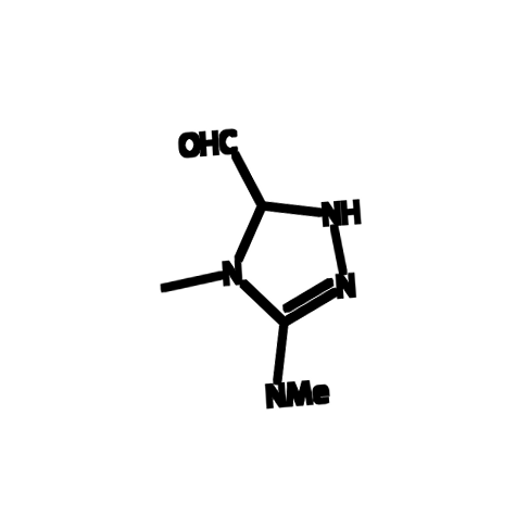 CNC1=NNC(C=O)N1C